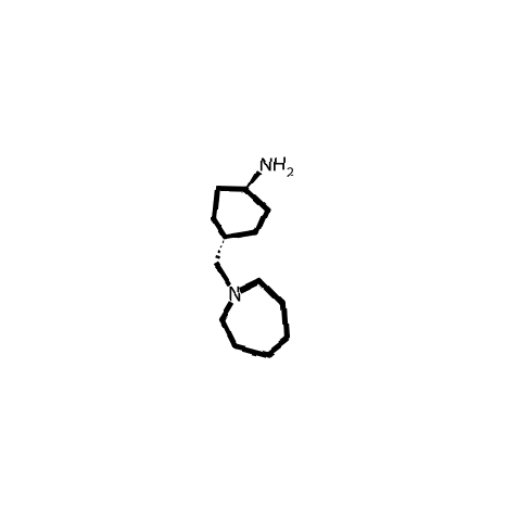 N[C@H]1CC[C@H](CN2CCCCCC2)CC1